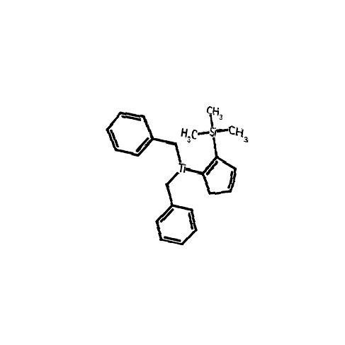 C[Si](C)(C)C1=[C]([Ti]([CH2]c2ccccc2)[CH2]c2ccccc2)CC=C1